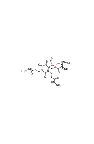 NNC(=O)CCN1C(=O)C2=NC(=O)N(CCC(=O)NN)C2(CCC(=O)NN)N(CCC(=O)NN)C1=O